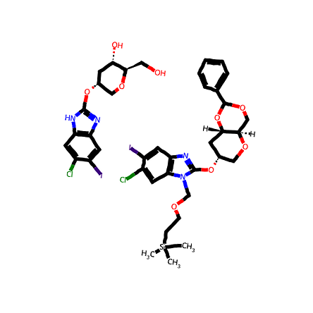 C[Si](C)(C)CCOCn1c(O[C@H]2CO[C@@H]3COC(c4ccccc4)O[C@H]3C2)nc2cc(I)c(Cl)cc21.OC[C@H]1OC[C@H](Oc2nc3cc(I)c(Cl)cc3[nH]2)C[C@@H]1O